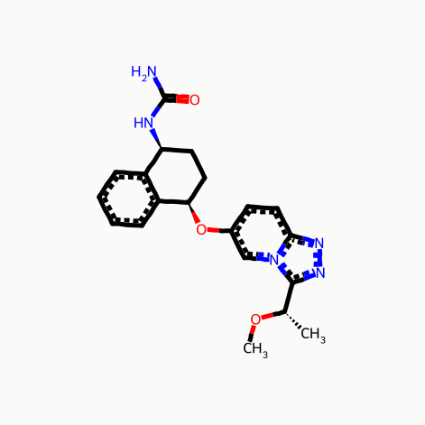 CO[C@@H](C)c1nnc2ccc(O[C@@H]3CC[C@H](NC(N)=O)c4ccccc43)cn12